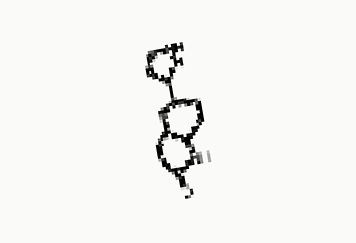 O=c1ccc2cc(-c3cc[nH]n3)ccc2[nH]1